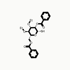 CCO[C@@H]1[C@H](OC(=O)c2ccccc2)[C@H](S)O[C@H](COC(=O)c2ccccc2)[C@H]1OCC